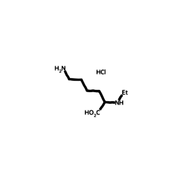 CCNC(CCCCN)C(=O)O.Cl